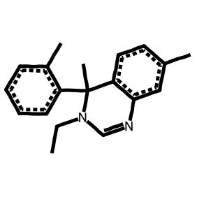 CCN1C=Nc2cc(C)ccc2C1(C)c1ccccc1C